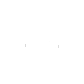 CC(Br)c1ccc(CCl)cc1